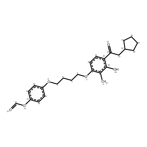 Cc1c(OCCCCOc2ccc(OC=O)cc2)ccc(C(=O)CC2CCCC2)c1O